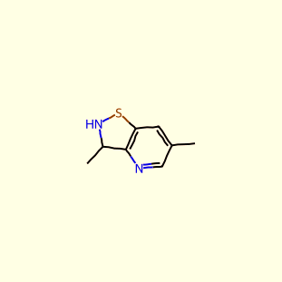 Cc1cnc2c(c1)SNC2C